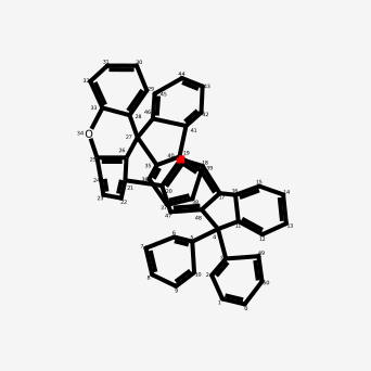 c1ccc(C2(c3ccccc3)c3ccccc3-c3ccc(-c4cccc5c4C4(c6ccccc6O5)c5ccccc5-c5ccccc54)cc32)cc1